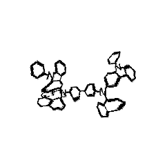 CC1CC=Cc2cccc(N(c3ccc(-c4ccc(N(c5ccc6c(c5)c5ccccc5n6-c5ccccc5)c5cccc6ccccc56)cc4)cc3)c3ccc4c(c3)c3ccccc3n4-c3ccccc3)c21